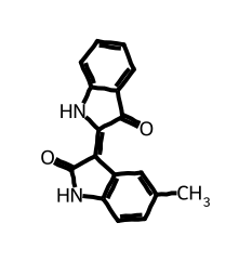 Cc1ccc2c(c1)/C(=C1/Nc3ccccc3C1=O)C(=O)N2